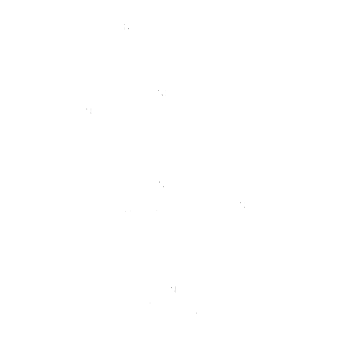 COc1cc2ncc(C#N)c(Nc3ccc(Sc4nc(-c5ccccc5)cs4)c(Cl)c3)c2cc1NC(=O)/C=C/CN(C)C